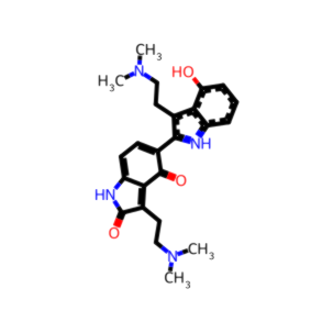 CN(C)CCC1=C2C(=O)C(c3[nH]c4cccc(O)c4c3CCN(C)C)=CC=C2NC1=O